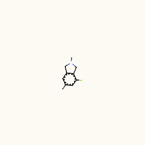 CCN1Cc2cc(C(C)C)cc(F)c2C1